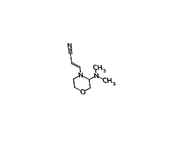 CN(C)C1COCCN1C=CC#N